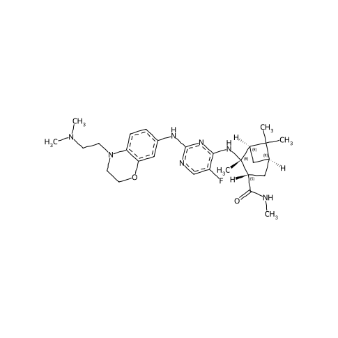 CNC(=O)[C@H]1C[C@H]2C[C@H](C2(C)C)[C@@]1(C)Nc1nc(Nc2ccc3c(c2)OCCN3CCN(C)C)ncc1F